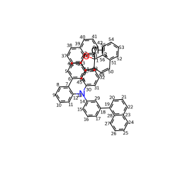 CC12Oc3ccc(-c4ccccc4N(c4cccc(-c5cccc6ccccc56)c4)c4cccc(-c5cccc6ccccc56)c4)cc3C1C=Cc1ccccc12